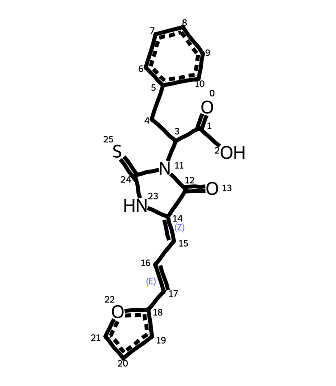 O=C(O)C(Cc1ccccc1)N1C(=O)/C(=C/C=C/c2ccco2)NC1=S